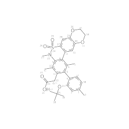 Cc1ccc(-c2c(C)c3c(c(C)c2[C@H](OC(C)(C)C)C(=O)O)N(C)S(=O)(=O)c2cc4c(cc2-3)OCCO4)cc1